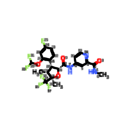 CNC(=O)c1cc(NC(=O)[C@@H]2O[C@@](C)(C(F)(F)F)[C@H](C)[C@@H]2c2ccc(F)cc2OC(F)F)ccn1